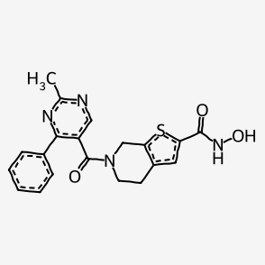 Cc1ncc(C(=O)N2CCc3cc(C(=O)NO)sc3C2)c(-c2ccccc2)n1